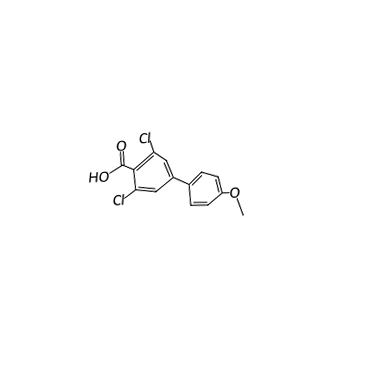 COc1ccc(-c2cc(Cl)c(C(=O)O)c(Cl)c2)cc1